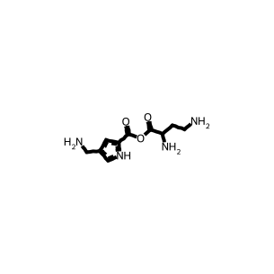 NCCC(N)C(=O)OC(=O)c1cc(CN)c[nH]1